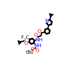 CC(C)(C)OC(=O)Nc1cc(OCC2CC2)c(C(F)(F)F)cc1NC(=O)CC(=O)c1cccc(-c2ccc(C3CC3)nc2)c1